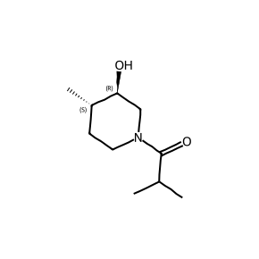 CC(C)C(=O)N1CC[C@H](C)[C@@H](O)C1